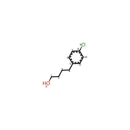 OCCCCc1[c]cc(Cl)cc1